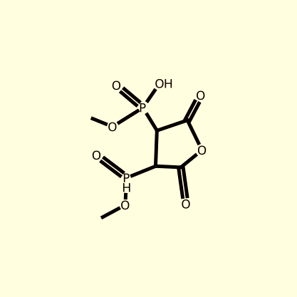 CO[PH](=O)C1C(=O)OC(=O)C1P(=O)(O)OC